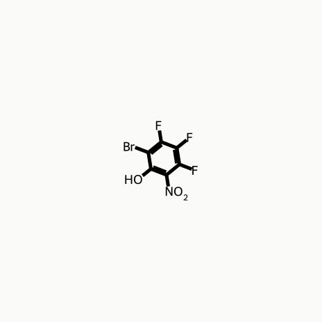 O=[N+]([O-])c1c(O)c(Br)c(F)c(F)c1F